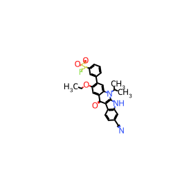 CCOc1cc2c(=O)c3c4ccc(C#N)cc4[nH]c3n(C(C)C)c2cc1-c1cccc(S(=O)(=O)F)c1